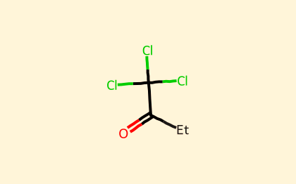 CCC(=O)C(Cl)(Cl)Cl